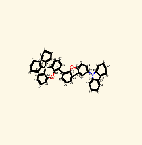 c1ccc([Si]2(c3ccccc3)c3ccccc3Oc3c(-c4cccc5c4oc4ccc(-n6c7ccccc7c7ccccc76)cc45)cccc32)cc1